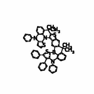 CC1(C)c2cc3sc4c(c3cc2B2c3sc(-c5ccccc5)c(-c5ccccc5)c3N(c3ccccc3)c3cccc1c32)N1c2sccc2N(c2ccccc2)c2cccc(c21)C4(C)C